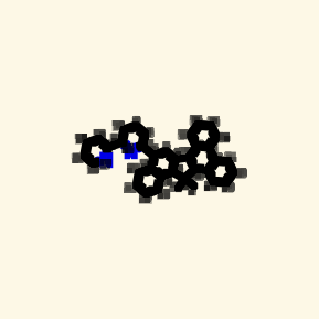 CC1(C)c2c(cc(-c3cccc(-c4ccccn4)n3)c3ccccc23)-c2c1c1ccccc1c1ccccc21